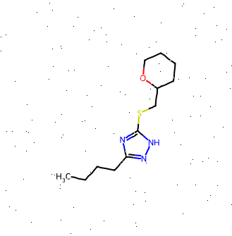 CCCCc1n[nH]c(SCC2CCCCO2)n1